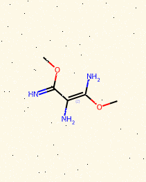 COC(=N)/C(N)=C(\N)OC